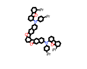 CC(C)c1ccc(N(c2ccc3cc4c(cc3c2)oc2ccc3oc5cc6cc(N(c7ccc(C(C)C)cc7)c7cccc8c7oc7c(C(C)C)cccc78)ccc6cc5c3c24)c2cccc3c2oc2c(C(C)C)cccc23)cc1